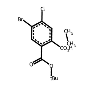 CC.CC(C)(C)OC(=O)c1cc(Br)c(Cl)cc1C(=O)O